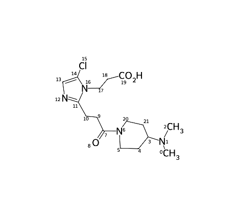 CN(C)C1CCN(C(=O)CCc2ncc(Cl)n2CCC(=O)O)CC1